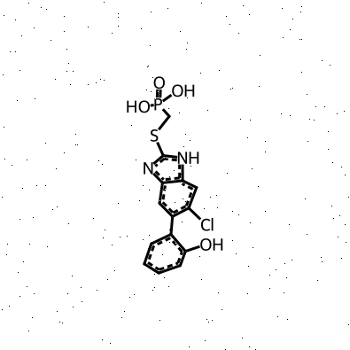 O=P(O)(O)CSc1nc2cc(-c3ccccc3O)c(Cl)cc2[nH]1